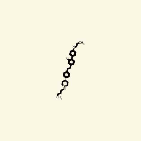 CCCCC[Si@H]1CC[C@H](c2ccc(CCc3ccc(-c4ccc(OCCC)cc4)c(F)c3)cc2)CC1